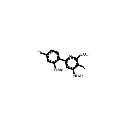 COc1cc(Cl)ccc1-c1cc(NC(C)=O)c(Cl)c(C(=O)O)n1